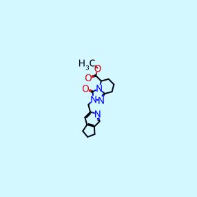 COC(=O)C1CCCc2nn(Cc3cc4c(cn3)CCC4)c(=O)n21